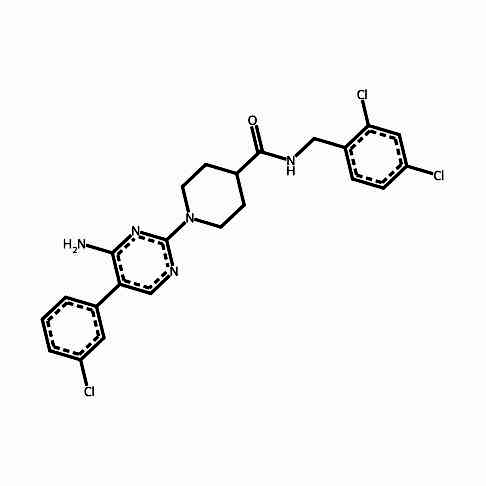 Nc1nc(N2CCC(C(=O)NCc3ccc(Cl)cc3Cl)CC2)ncc1-c1cccc(Cl)c1